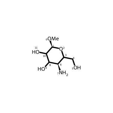 CO[C@H]1OC(CO)[C@@H](N)C(O)C1O